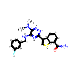 CN(C)c1nnc(C2=CSC3C(C(N)=O)=CC=CC23)nc1NCc1cccc(F)c1